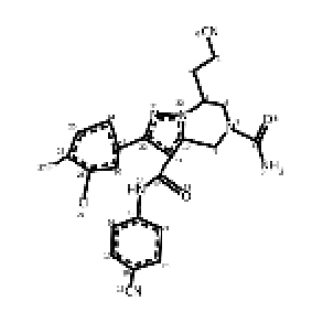 N#CCCC1CN(C(N)=O)Cc2c(C(=O)Nc3ccc(C#N)cc3)c(-c3ccc(F)c(Cl)c3)nn21